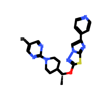 CCc1cnc(N2CCC([C@@H](C)Oc3nn4cc(-c5ccncc5)nc4s3)CC2)nc1